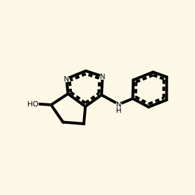 OC1CCc2c(Nc3ccccc3)ncnc21